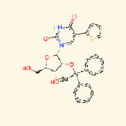 CC(C)(C)[Si](O[C@@H]1[C@H](O)[C@@H](CO)O[C@@H]1n1cc(-c2cccs2)c(=O)[nH]c1=O)(c1ccccc1)c1ccccc1